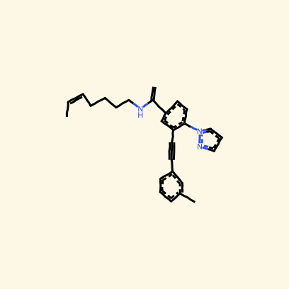 C=C(NCCCC/C=C\C)c1ccc(-n2cccn2)c(C#Cc2cccc(C)c2)c1